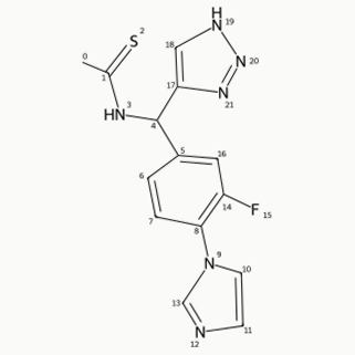 CC(=S)NC(c1ccc(-n2ccnc2)c(F)c1)c1c[nH]nn1